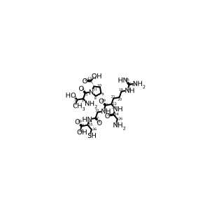 CC(O)C(N)C(=O)N1CCC[C@H]1C(=O)O.N=C(N)NCCCC(NC(=O)CN)C(=O)NCC(=O)NC(CS)C(=O)O